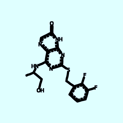 CC(CO)Nc1nc(SCc2cccc(F)c2F)nc2[nH]c(=O)cnc12